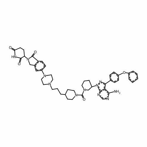 Nc1ncnc2c1c(-c1ccc(Oc3ccccc3)cc1)nn2C1CCCN(C(=O)N2CCC(CCCN3CCN(c4ccc5c(c4)CN(C4CCC(=O)NC4=O)C5=O)CC3)CC2)C1